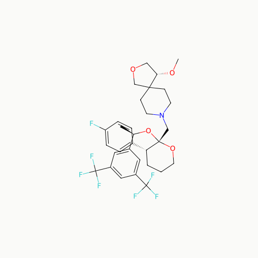 CO[C@H]1COCC12CCN(C[C@@]1(O[C@H](C)c3cc(C(F)(F)F)cc(C(F)(F)F)c3)OCCC[C@@H]1c1ccc(F)cc1)CC2